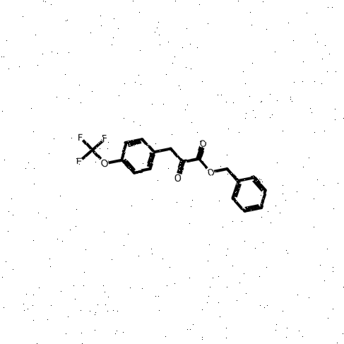 O=C(Cc1ccc(OC(F)(F)F)cc1)C(=O)OCc1ccccc1